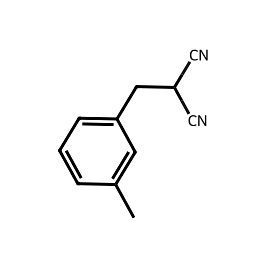 Cc1cccc(CC(C#N)C#N)c1